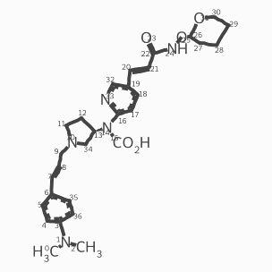 CN(C)c1ccc(/C=C/CN2CC[C@@H](N(C(=O)O)c3ccc(/C=C/C(=O)NOC4CCCCO4)cn3)C2)cc1